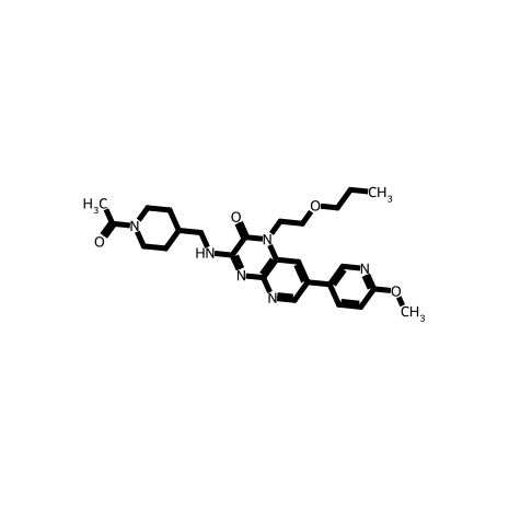 CCCOCCn1c(=O)c(NCC2CCN(C(C)=O)CC2)nc2ncc(-c3ccc(OC)nc3)cc21